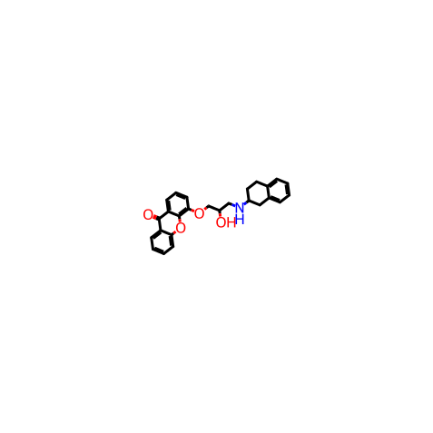 O=c1c2ccccc2oc2c(OCC(O)CNC3CCc4ccccc4C3)cccc12